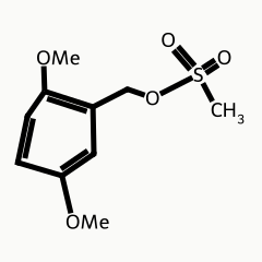 COc1ccc(OC)c(COS(C)(=O)=O)c1